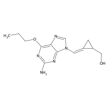 CCCOc1nc(N)nc2c1ncn2C=C1CC1CO